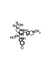 CN1CCc2nc(C(=O)N[C@@H]3CN(C(=O)C4(O)CC4)CC[C@@H]3NC(=O)c3cc4cc(Cl)ccc4[nH]3)sc2C1.Cl